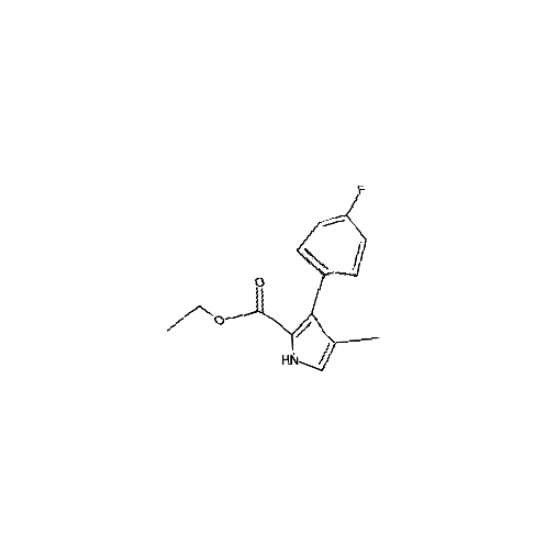 CCOC(=O)c1[nH]cc(C)c1-c1ccc(F)cc1